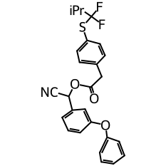 CC(C)C(F)(F)Sc1ccc(CC(=O)OC(C#N)c2cccc(Oc3ccccc3)c2)cc1